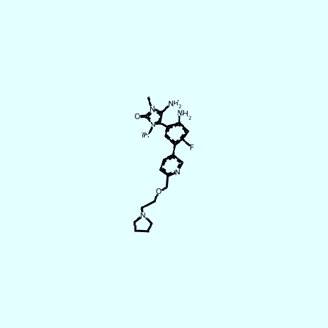 CC(C)n1c(-c2cc(-c3ccc(COCCN4CCCC4)nc3)c(F)cc2N)c(N)n(C)c1=O